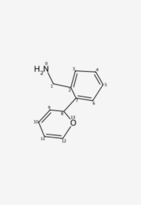 NCc1ccccc1C1C=CC=CO1